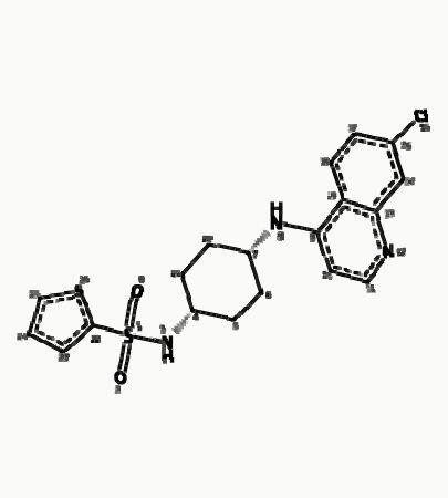 O=S(=O)(N[C@H]1CC[C@@H](Nc2ccnc3cc(Cl)ccc23)CC1)c1cccs1